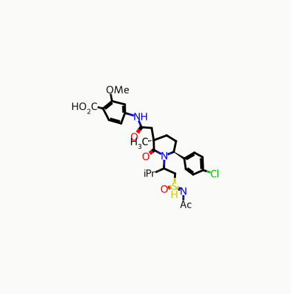 COc1cc(NC(=O)C[C@@]2(C)CC[C@@H](c3ccc(Cl)cc3)N(C(C[SH](=O)=NC(C)=O)C(C)C)C2=O)ccc1C(=O)O